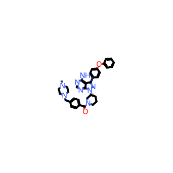 CN1CCN(Cc2ccc(C(=O)N3CCC[C@@H](n4nc(-c5ccc(Oc6ccccc6)cc5)c5c(N)ncnc54)C3)cc2)CC1